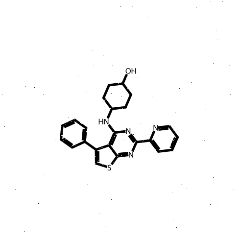 OC1CCC(Nc2nc(-c3ccccn3)nc3scc(-c4ccccc4)c23)CC1